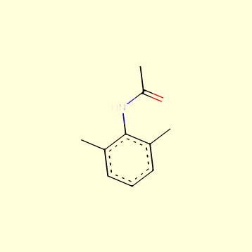 CC(=O)Nc1c(C)cccc1C